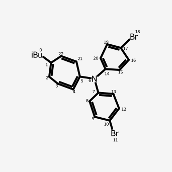 CCC(C)C1=CC=C=C(N(c2ccc(Br)cc2)c2ccc(Br)cc2)C=C1